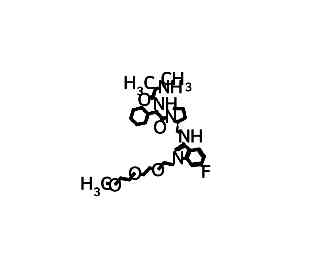 CN[C@@H](C)C(=O)NC(C(=O)N1CCC[C@H]1CNc1cn(CCOCCOCCOC)c2cc(F)ccc12)C1CCCCC1